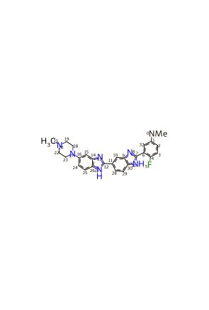 CNc1ccc(F)c(-c2nc3cc(-c4nc5cc(N6CCN(C)CC6)ccc5[nH]4)ccc3[nH]2)c1